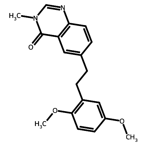 COc1ccc(OC)c(CCc2ccc3ncn(C)c(=O)c3c2)c1